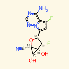 N#C[C@]12O[C@@H](c3cc(F)c4c(N)ncnn34)[C@H](F)[C@@]1(O)[C@@H]2O